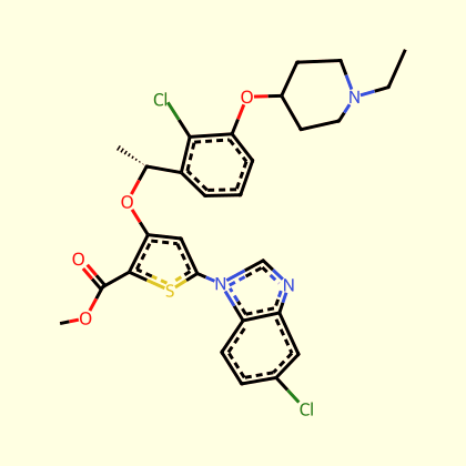 CCN1CCC(Oc2cccc([C@@H](C)Oc3cc(-n4cnc5cc(Cl)ccc54)sc3C(=O)OC)c2Cl)CC1